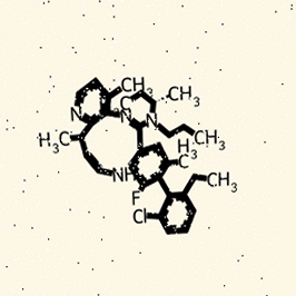 CCCN(/C1=N/c2c(C)ccnc2C(C)/C=C\Nc2c1cc(C)c(-c1c(Cl)cccc1CC)c2F)[C@@H](C)CC